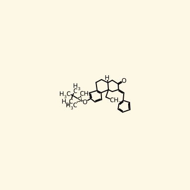 CCC12CC(=Cc3ccccc3)C(=O)C[C@H]1CCc1cc(O[Si](C)(C)C(C)(C)C)ccc12